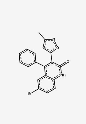 Cc1cc(-c2c(-c3ccccc3)c3cc(Br)ccc3[nH]c2=O)on1